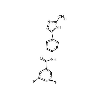 Cc1ncc(-c2ccc(NC(=O)c3cc(F)cc(F)c3)cc2)[nH]1